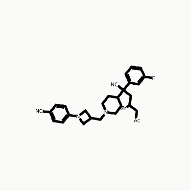 CCCC(CC(C)=O)CC(C#N)(c1cccc(F)c1)C1CCN(CC2CN(c3ccc(C#N)cc3)C2)CC1